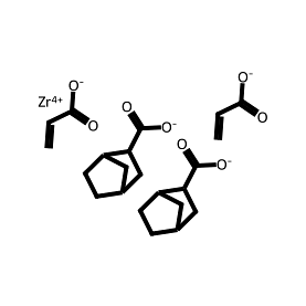 C=CC(=O)[O-].C=CC(=O)[O-].O=C([O-])C1CC2CCC1C2.O=C([O-])C1CC2CCC1C2.[Zr+4]